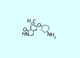 Cc1cc2c(=O)[nH]ccc2cc1O[C@H]1CCC[C@@H](N)CC1